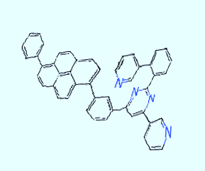 c1ccc(-c2ccc3ccc4c(-c5cccc(-c6cc(-c7cccnc7)nc(-c7ccccc7-c7cccnc7)n6)c5)ccc5ccc2c3c54)cc1